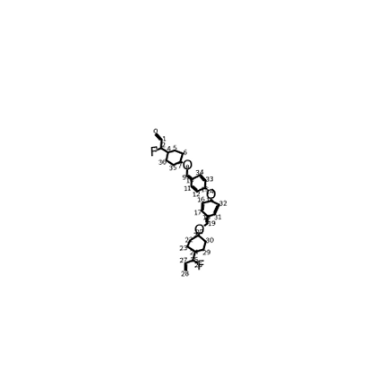 C=CC(F)C1CCC(OC=C2C=CC(OC3C=CC(=COC4CCC(C(F)C=C)CC4)C=C3)C=C2)CC1